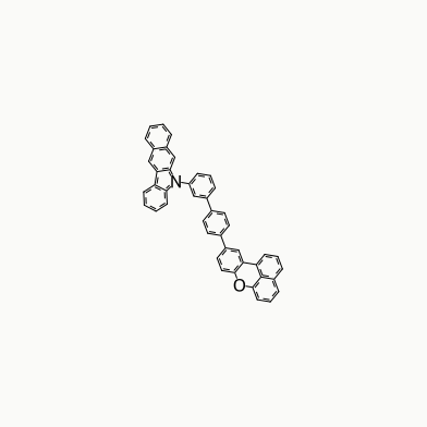 c1cc(-c2ccc(-c3ccc4c(c3)-c3cccc5cccc(c35)O4)cc2)cc(-n2c3ccccc3c3cc4ccccc4cc32)c1